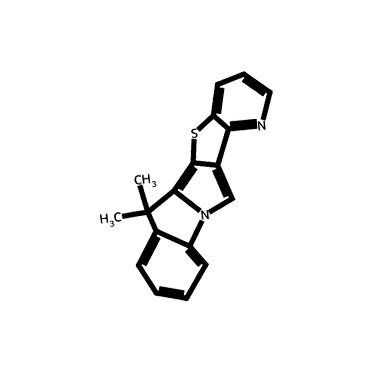 CC1(C)c2ccccc2-n2cc3c(sc4cccnc43)c21